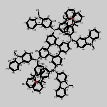 Cn1c2ccccc2c2cc(N(c3ccc4c(c3)-c3cc(N(c5ccc6c(c5)c5ccccc5n6C)c5ccc6c(c5)c5ccccc5n6C)ccc3-c3ccc(N(c5ccc6c(c5)c5ccccc5n6C)c5ccc6c(c5)c5ccccc5n6C)cc3-c3cc(N(c5ccc6c(c5)c5ccccc5n6C)c5ccc6c(c5)c5ccccc5n6C)ccc3-4)c3ccc4c(c3)c3ccccc3n4C)ccc21